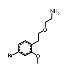 COc1cc(Br)ccc1CCOCCN